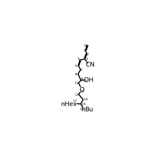 C=C/C=C(C#N)\C=C/CCC(O)COCCC(CCCC)CCCCCC